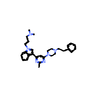 Cc1nc(-c2cn(CCCN(C)C)c3ccccc23)cc(N2CCN(CCc3ccccc3)CC2)n1